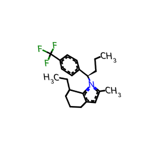 CCC[C@H](c1ccc(C(F)(F)F)cc1)n1c(C)cc2c1C(CC)CCC2